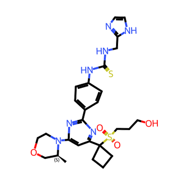 C[C@H]1COCCN1c1cc(C2(S(=O)(=O)CCCO)CCC2)nc(-c2ccc(NC(=S)NCc3ncc[nH]3)cc2)n1